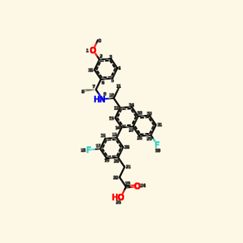 COc1cccc([C@@H](C)NC(C)c2cc(-c3cc(F)cc(CCC(=O)O)c3)c3cc(F)ccc3c2)c1